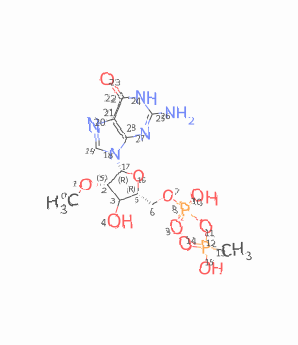 CO[C@H]1C(O)[C@@H](COP(=O)(O)OP(C)(=O)O)O[C@H]1n1cnc2c(=O)[nH]c(N)nc21